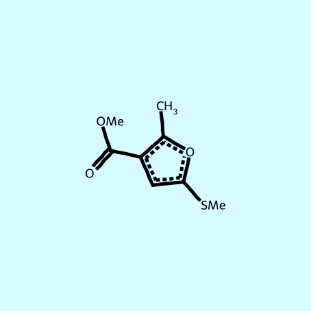 COC(=O)c1cc(SC)oc1C